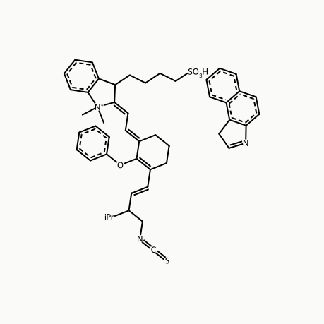 C1=Nc2ccc3ccccc3c2C1.CC(C)C(C=CC1=C(Oc2ccccc2)C(=CC=C2C(CCCCS(=O)(=O)O)c3ccccc3[N+]2(C)C)CCC1)CN=C=S